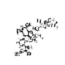 Cc1c(C)n(COCC[Si](C)(C)C)c2c(C#N)cc(F)c(C3=CCCC(NC(=O)OC(C)(C)C)C3)c12